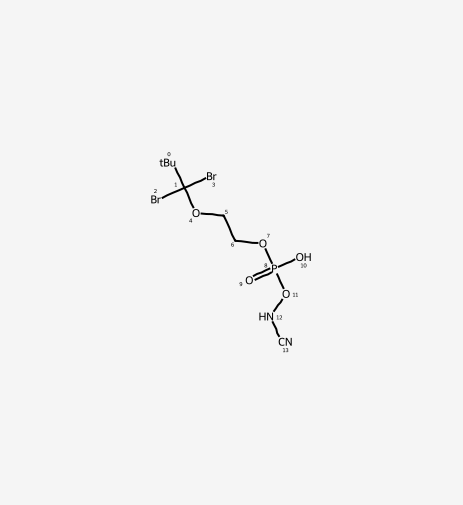 CC(C)(C)C(Br)(Br)OCCOP(=O)(O)ONC#N